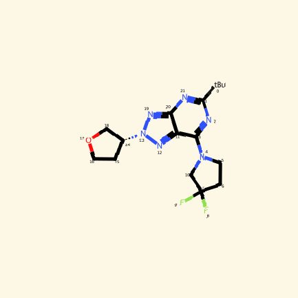 CC(C)(C)c1nc(N2CCC(F)(F)C2)c2nn([C@@H]3CCOC3)nc2n1